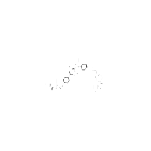 CC(C)(C)OC(=O)CNC(=O)c1ccc(-c2cnc(Nc3ccc(OCCN4CCC(C(N)=O)CC4)cc3)nc2)cc1